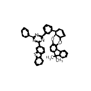 CC1(C)c2ccccc2-c2c1ccc1c2OC2C=CC=C(c3cccc(-c4nc(-c5ccccc5)nc(-c5ccc6c(c5)sc5ccccc56)n4)c3)C2O1